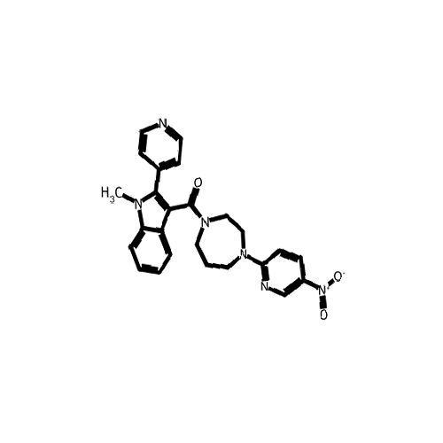 Cn1c(-c2ccncc2)c(C(=O)N2CCCN(c3ccc([N+](=O)[O-])cn3)CC2)c2ccccc21